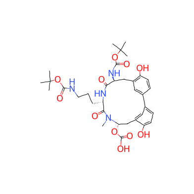 CN1C(=O)[C@H](CCCNC(=O)OC(C)(C)C)NC(=O)[C@@H](NC(=O)OC(C)(C)C)Cc2cc(ccc2O)-c2ccc(O)c(c2)C[C@@H]1OC(=O)O